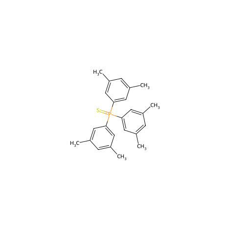 Cc1cc(C)cc(P(=S)(c2cc(C)cc(C)c2)c2cc(C)cc(C)c2)c1